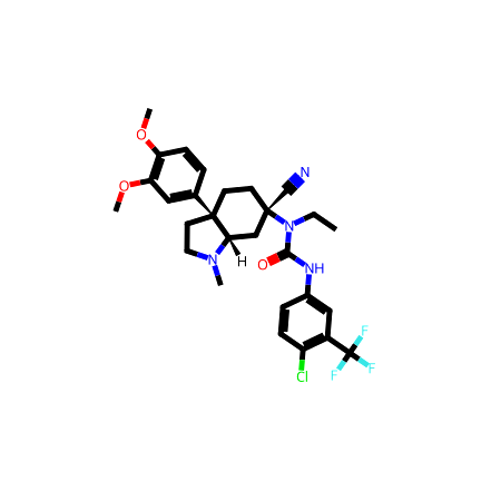 CCN(C(=O)Nc1ccc(Cl)c(C(F)(F)F)c1)[C@@]1(C#N)CC[C@@]2(c3ccc(OC)c(OC)c3)CCN(C)[C@H]2C1